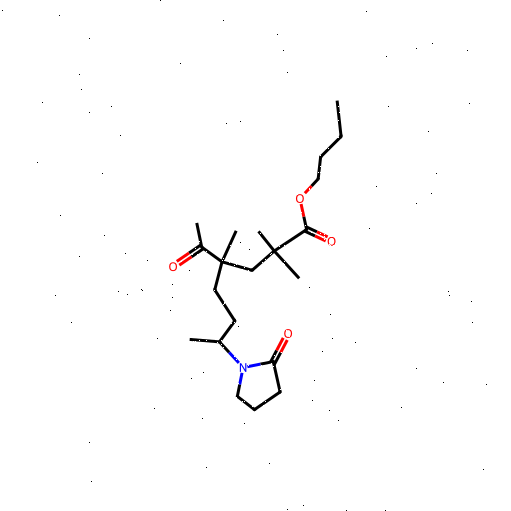 CCCCOC(=O)C(C)(C)CC(C)(CCC(C)N1CCCC1=O)C(C)=O